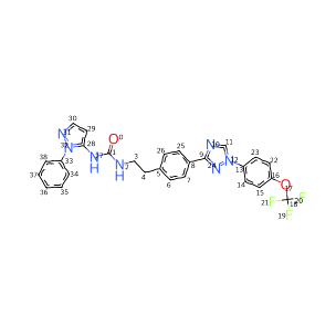 O=C(NCCc1ccc(-c2ncn(-c3ccc(OC(F)(F)F)cc3)n2)cc1)Nc1ccnn1-c1ccccc1